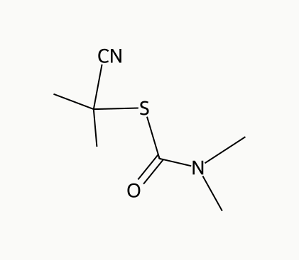 CN(C)C(=O)SC(C)(C)C#N